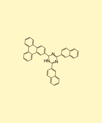 c1ccc2cc(C3=NC(c4ccc5c6ccccc6c6ccccc6c5c4)NC(c4ccc5ccccc5c4)=N3)ccc2c1